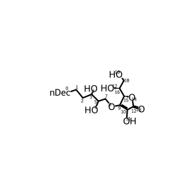 CCCCCCCCCCCCC(O)C(O)COC1=C(O)C(=O)O[C@@H]1[C@@H](O)CO